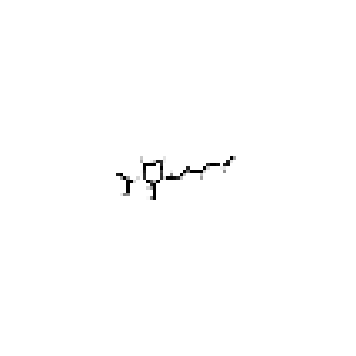 CCCCCCN1N=CN(C(C)C)C1C